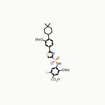 COc1cc(C(=O)O)c(F)cc1NS(=O)(=O)c1csc(-c2ccc(C3CCC(C)(C)CC3)c(OC)c2)n1